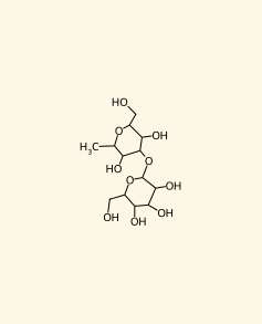 CC1OC(CO)C(O)C(OC2OC(CO)C(O)C(O)C2O)C1O